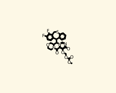 COC(=O)OCOc1c2n(cnc1=O)C(C1c3ccccc3SCc3c1ccc(F)c3F)C1COCCN1C2=O